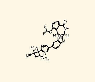 CN1C(=O)c2cccc(OC(F)F)c2[C@H]2C[C@@H]1c1nc3ccc(-c4cnc(C5(N)C(N)CC5(C)C#N)nc4)cc3n12